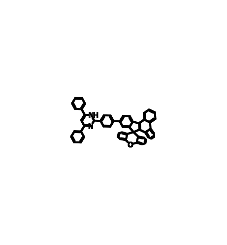 C1=C(c2ccccc2)NC(c2ccc(-c3ccc4c(c3)C3(c5ccccc5Oc5ccccc53)c3c-4c4ccccc4c4ccccc34)cc2)N=C1c1ccccc1